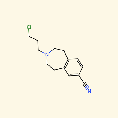 N#Cc1ccc2c(c1)CCN(CCCCl)CC2